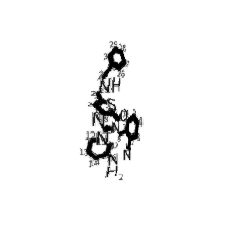 N#Cc1ccccc1Cn1c(N2CCCC(N)C2)nc2cc(CNCc3ccccc3)sc2c1=O